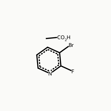 CC(=O)O.Fc1ncccc1Br